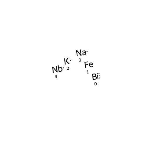 [Bi].[Fe].[K].[Na].[Nb]